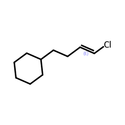 Cl/C=C/CCC1CCCCC1